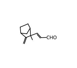 C=C1C2CCC(C2)C1(C)C=CC=O